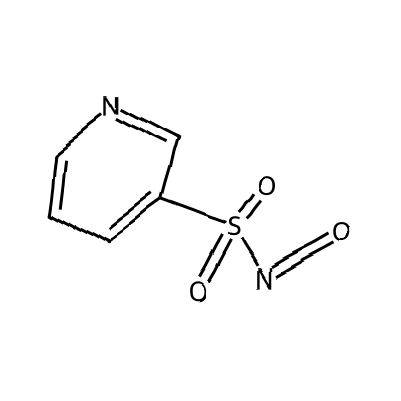 O=NS(=O)(=O)c1cccnc1